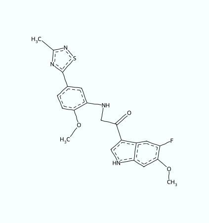 COc1cc2[nH]cc(C(=O)CNc3cc(-c4nc(C)ns4)ccc3OC)c2cc1F